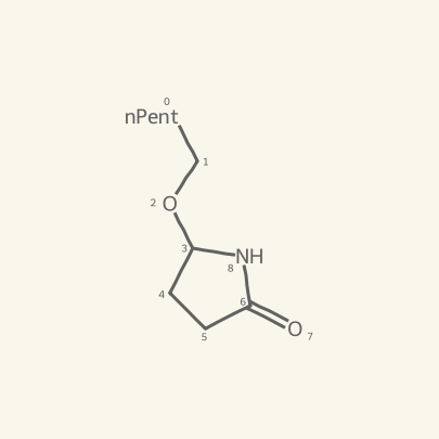 CCCCCCOC1CCC(=O)N1